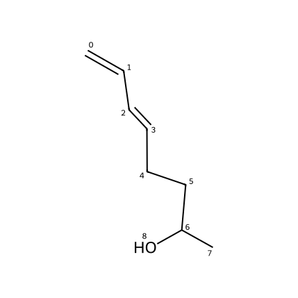 C=CC=CCCC(C)O